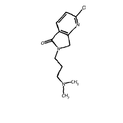 CN(C)CCCN1Cc2nc(Cl)ccc2C1=O